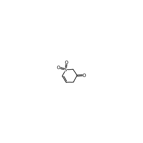 O=C1CC=CS(=O)(=O)C1